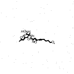 COCCCCC#Cc1cc(CNC(C)(C(=O)NO)[C@@H](O)c2cc(C)on2)no1